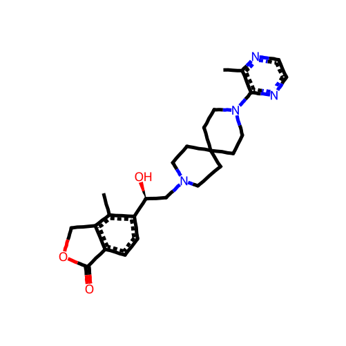 Cc1nccnc1N1CCC2(CCN(C[C@H](O)c3ccc4c(c3C)COC4=O)CC2)CC1